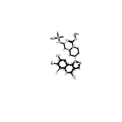 CC(C)(C)OC(=O)N1CC[C@H](n2ncc3c(Cl)nc4c(F)c(Br)c(Cl)cc4c32)C[C@H]1CCO[Si](C)(C)C(C)(C)C